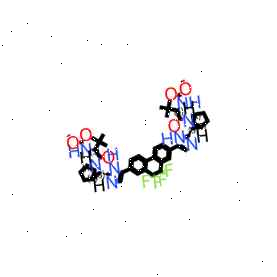 COC(=O)N[C@H](C(=O)N1[C@@H]2CC[C@@H](C2)[C@H]1c1ncc(-c2ccc3c(c2)C(F)(F)C(F)(F)c2cc(-c4cnc([C@@H]5[C@H]6CC[C@H](C6)N5C(=O)[C@@H](NC(=O)OC)C(C)(C)C)[nH]4)ccc2-3)[nH]1)C(C)(C)C